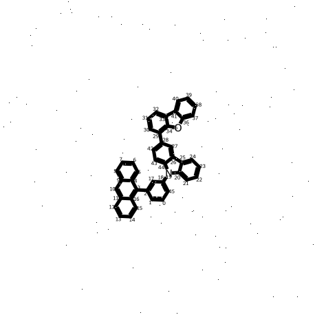 c1cc(-c2c3ccccc3cc3ccccc23)cc(-n2c3ccccc3c3cc(-c4cccc5c4oc4ccccc45)ccc32)c1